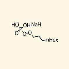 CCCCCCCCCOOP(=O)(O)O.[NaH]